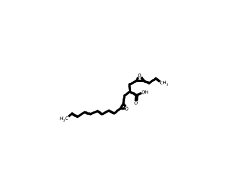 CCCCCCCCCC1OC1CC(CC1OC1CCC)C(=O)O